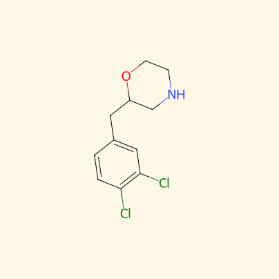 Clc1ccc(CC2CNCCO2)cc1Cl